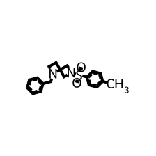 Cc1ccc(S(=O)(=O)N2CC3(CCN3Cc3ccccc3)C2)cc1